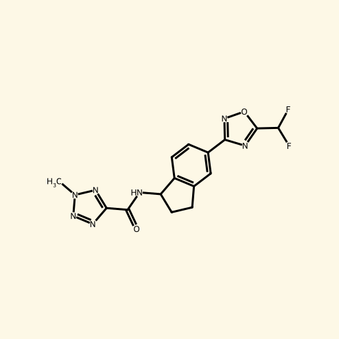 Cn1nnc(C(=O)NC2CCc3cc(-c4noc(C(F)F)n4)ccc32)n1